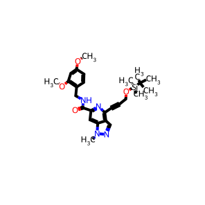 COc1ccc(CNC(=O)c2cc3c(cnn3C)c(C#CCO[Si](C)(C)C(C)(C)C)n2)c(OC)c1